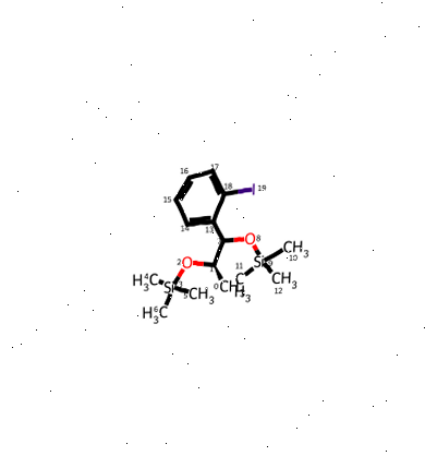 C[C@@H](O[Si](C)(C)C)C(O[Si](C)(C)C)c1ccccc1I